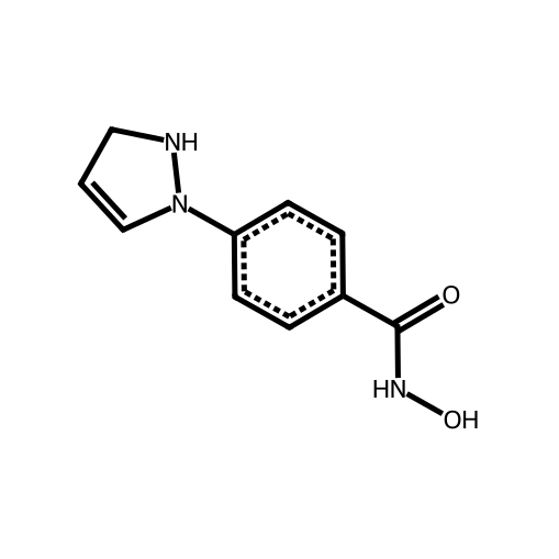 O=C(NO)c1ccc(N2C=CCN2)cc1